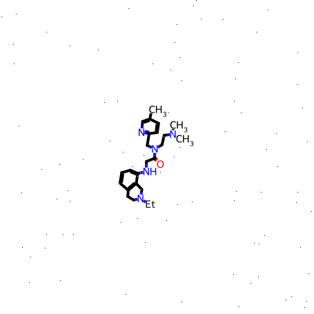 CCN1CCc2cccc(NCC(=O)N(CCN(C)C)Cc3ccc(C)cn3)c2C1